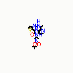 CC(Nc1nc(C(=O)NC2CN(C(=O)OC(C)(C)C)C2)c2sccc2n1)c1ccccn1